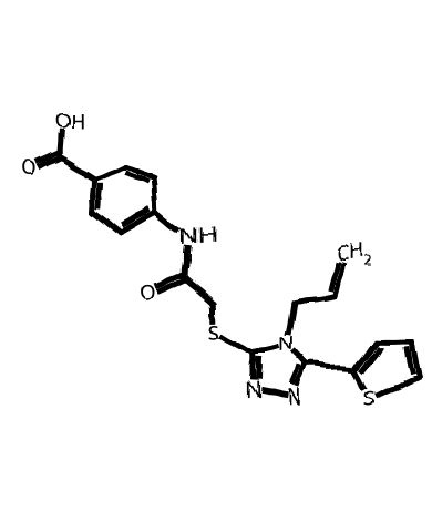 C=CCn1c(SCC(=O)Nc2ccc(C(=O)O)cc2)nnc1-c1cccs1